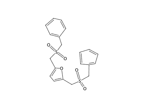 O=S(=O)(Cc1ccccc1)Cc1ccc(CS(=O)(=O)Cc2ccccc2)o1